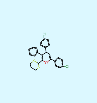 Clc1ccc(C2=CC(c3ccc(Cl)cc3)C(c3ccccc3)=C(C3SCCCS3)O2)cc1